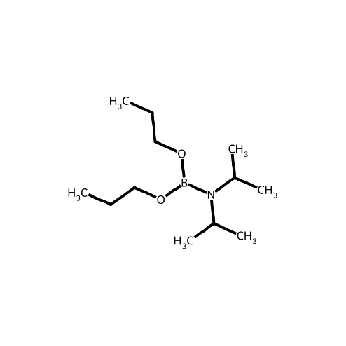 CCCOB(OCCC)N(C(C)C)C(C)C